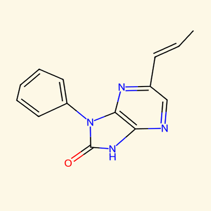 C/C=C/c1cnc2[nH]c(=O)n(-c3ccccc3)c2n1